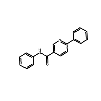 O=C(Nc1ccccc1)c1ccc(-c2ccccc2)nc1